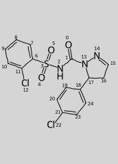 O=C(NS(=O)(=O)c1ccccc1Cl)N1N=CCC1c1ccc(Cl)cc1